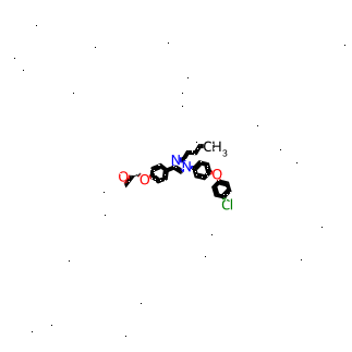 CCCCc1nc(-c2ccc(OC[C@@H]3CO3)cc2)cn1-c1ccc(Oc2ccc(Cl)cc2)cc1